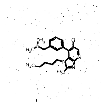 CCCCCn1c(O)nc2ncc(Cl)c(-c3cccc(CN(C)C)c3)c21